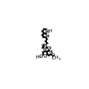 COc1ccc(C(CC(=O)O)n2ccn(CCCc3ccc4c(n3)NCCC4)c2=O)cn1